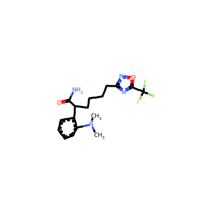 CN(C)c1ccccc1C(CCCCc1noc(C(F)(F)F)n1)C(N)=O